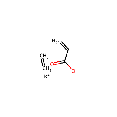 C=C.C=CC(=O)[O-].[K+]